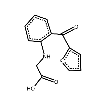 O=C(O)CNc1ccccc1C(=O)c1cccs1